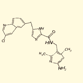 Cc1cc(N)nc(C)c1CNC(=O)c1ncc(Cc2ccc3ncc(Cl)cc3c2)[nH]1